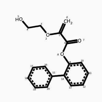 C=C(OCCO)C(=O)Oc1ccccc1-c1ccccc1